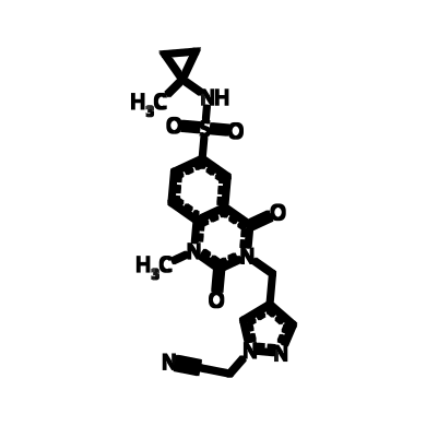 Cn1c(=O)n(Cc2cnn(CC#N)c2)c(=O)c2cc(S(=O)(=O)NC3(C)CC3)ccc21